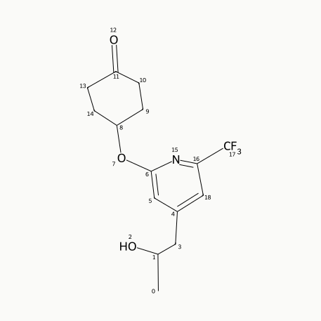 CC(O)Cc1cc(OC2CCC(=O)CC2)nc(C(F)(F)F)c1